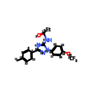 CCC(=O)Nc1nc(-c2ccc(C)cc2)nn1-c1ccc(OC(F)(F)F)cc1